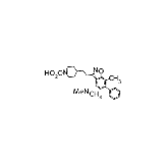 CNC.Cc1c(-c2ccccc2)ccc2c(CCC3CCN(C(=O)O)CC3)noc12